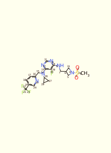 CS(=O)(=O)N1CC(CNc2ncnc(N(Cc3ccc(C(F)(F)F)cn3)C3CC3)c2F)C1